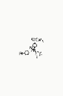 COC(=O)c1ccc2c(c1)nc(Cc1ccc(C(C)C)cc1)n2C1CC(C)CC(C)(C)C1